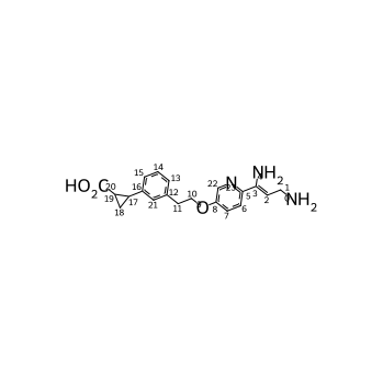 NC/C=C(\N)c1ccc(OCCc2cccc(C3CC3C(=O)O)c2)cn1